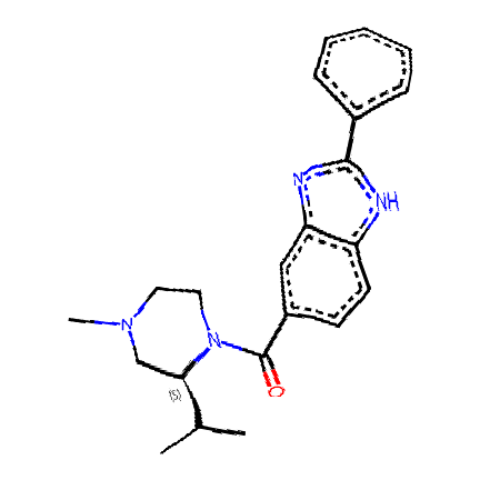 CC(C)[C@H]1CN(C)CCN1C(=O)c1ccc2[nH]c(-c3ccccc3)nc2c1